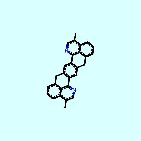 Cc1cnc2c3c(cccc13)Cc1cc3c(cc1-2)Cc1cccc2c(C)cnc-3c12